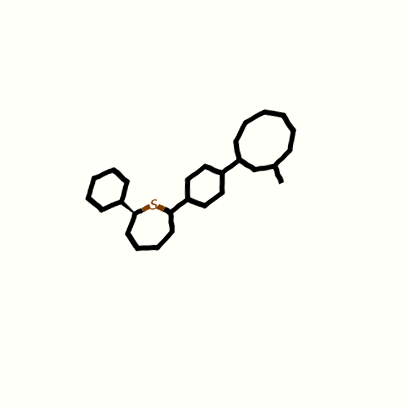 CC1CCCCCCC(C2CCC(C3CCCC[C@@H](C4CCCCC4)S3)CC2)C1